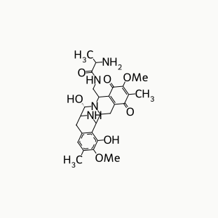 COC1=C(C)C(=O)C2=C(C1=O)C(CNC(=O)C(C)N)N1C(C2)C2NC(Cc3cc(C)c(OC)c(O)c32)[C@@H]1O